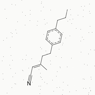 CCCc1ccc(CC/C(C)=C/C#N)cc1